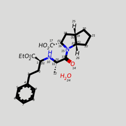 CCOC(=O)[C@H](CCc1ccccc1)N[C@@H](C)C(=O)N1[C@H](C(=O)O)C[C@@H]2CCC[C@@H]21.O